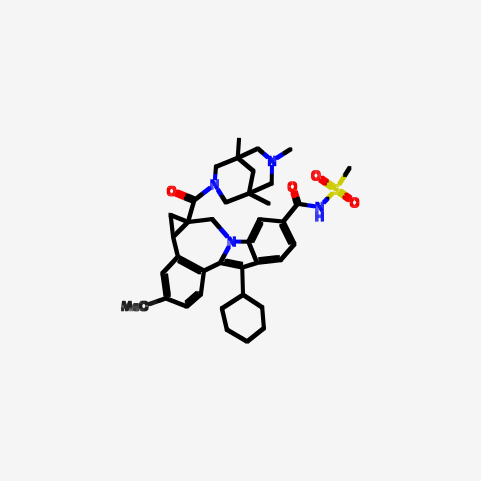 COc1ccc2c(c1)C1CC1(C(=O)N1CC3(C)CN(C)CC(C)(C1)C3)Cn1c-2c(C2CCCCC2)c2ccc(C(=O)NS(C)(=O)=O)cc21